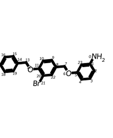 Nc1cccc(OCc2ccc(OCc3ccccc3)c(Br)c2)c1